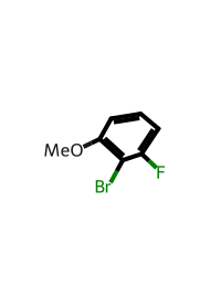 COc1cccc(F)c1Br